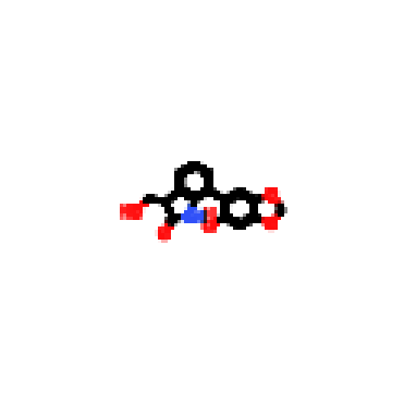 O=C1Nc2c(-c3cc4c(cc3O)OCO4)cccc2C1CO